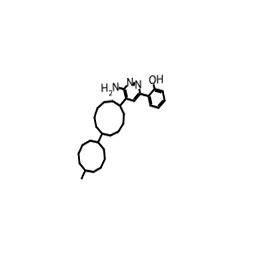 CC1CCCCC(C2CCCCCC(c3cc(-c4ccccc4O)nnc3N)CCCC2)CCCC1